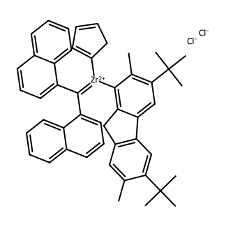 Cc1cc2c(cc1C(C)(C)C)-c1cc(C(C)(C)C)c(C)[c]([Zr+2]([C]3=CC=CC3)=[C](c3cccc4ccccc34)c3cccc4ccccc34)c1C2.[Cl-].[Cl-]